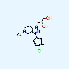 CC(=O)N1CCc2c(c(-c3ccc(Cl)c(C)c3)nn2CC(O)CO)C1